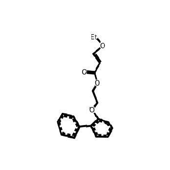 CCOC=CC(=O)OCCOc1ccccc1-c1ccccc1